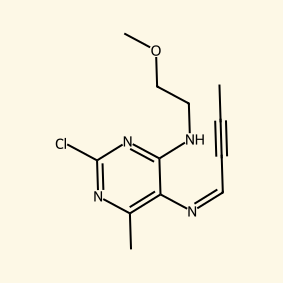 CC#C/C=N\c1c(C)nc(Cl)nc1NCCOC